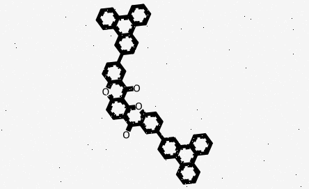 O=c1c2cc(-c3ccc4c5ccccc5c5ccccc5c4c3)ccc2oc2c1ccc1oc3ccc(-c4ccc5c6ccccc6c6ccccc6c5c4)cc3c(=O)c12